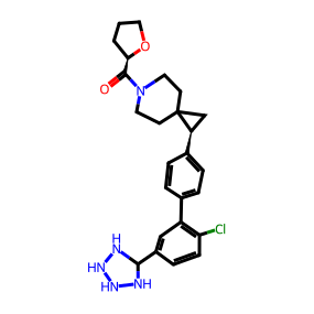 O=C([C@H]1CCCO1)N1CCC2(CC1)C[C@H]2c1ccc(-c2cc(C3NNNN3)ccc2Cl)cc1